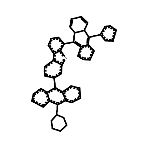 C1=CC2C(c3ccccc3)=c3ccccc3=C(c3cccc4c3sc3cc(-c5c6ccccc6c(C6CCCCC6)c6ccccc56)ccc34)C2C=C1